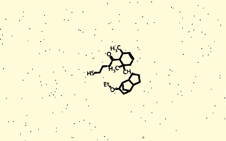 CC1C=CCC(C)(C)C1C(=O)CCCS.CCOC1CC2CC1C1CCCC21